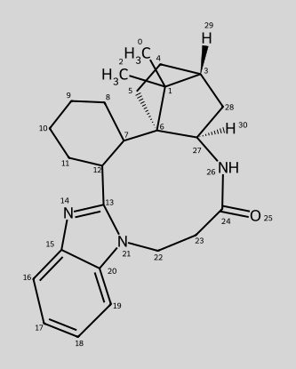 CC1(C)[C@@H]2CC[C@]13C1CCCCC1c1nc4ccccc4n1CCC(=O)N[C@@H]3C2